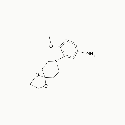 COc1ccc(N)cc1N1CCC2(CC1)OCCO2